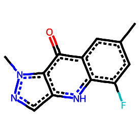 Cc1cc(F)c2[nH]c3cnn(C)c3c(=O)c2c1